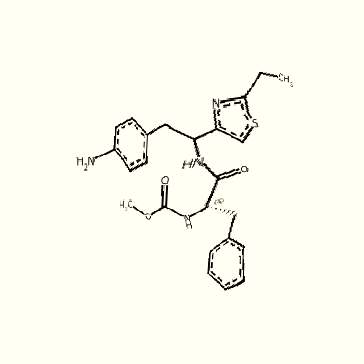 CCc1nc(C(Cc2ccc(N)cc2)NC(=O)[C@H](Cc2ccccc2)NC(=O)OC)cs1